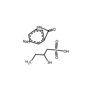 CCC(S)CS(=O)(=O)O.O=C1Nc2cccc1c2.[NaH]